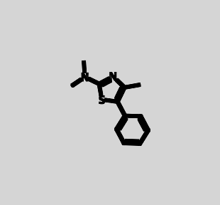 Cc1nc(N(C)C)sc1-c1ccccc1